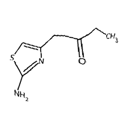 CCC(=O)Cc1csc(N)n1